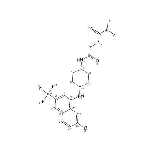 CN(C)C(=S)SCC(=O)NC1CCC(Nc2cc(C(F)(F)F)nc3ccc(Cl)cc23)CC1